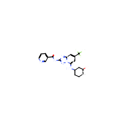 O=C(Nc1nc2cc(C(F)(F)F)cc(NC3CCCC(O)C3)n2n1)c1cccnc1